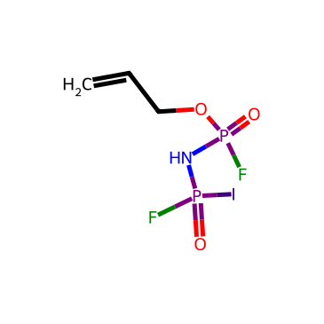 C=CCOP(=O)(F)NP(=O)(F)I